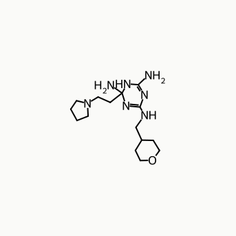 NC1=NC(NCC2CCOCC2)=NC(N)(CCN2CCCC2)N1